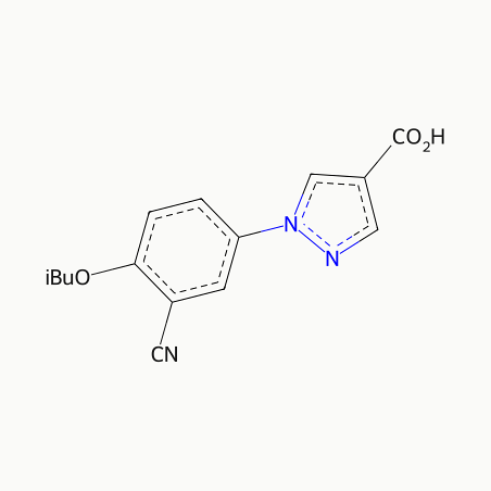 CC(C)COc1ccc(-n2cc(C(=O)O)cn2)cc1C#N